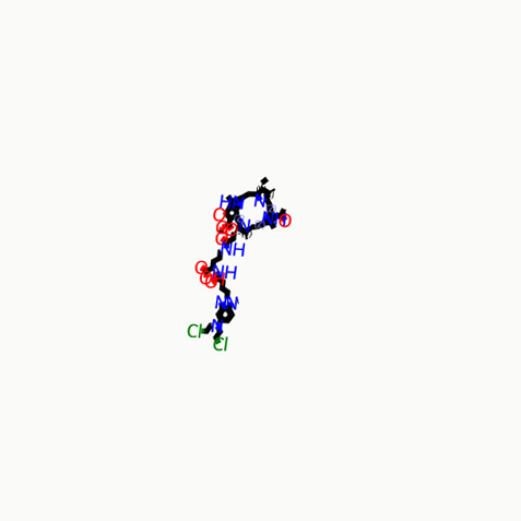 CC[C@H]1C2Cc3[nH]c4c(c3C)C(=O)C(C(=O)OC)/C4=C3N=C(/C=c4\[nH]/c(c(C(C)=O)c4C)=C\C(=N2)[C@@H]1C)[C@@H](C)[C@@H]/3CCC(=O)NCCCC(NC(=O)CCCc1nc2cc(N(CCCl)CCCl)ccc2n1C)C(=O)O